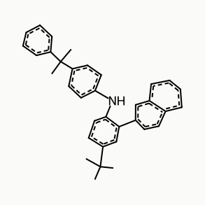 CC(C)(C)c1ccc(Nc2ccc(C(C)(C)c3ccccc3)cc2)c(-c2ccc3ccccc3c2)c1